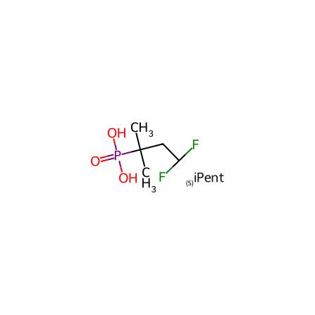 CCC[C@H](C)C(F)(F)CC(C)(C)P(=O)(O)O